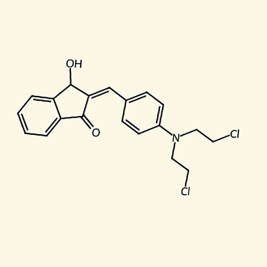 O=C1C(=Cc2ccc(N(CCCl)CCCl)cc2)C(O)c2ccccc21